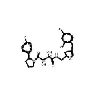 O=C(NCC1CC(Cc2ccc(Cl)cc2Cl)=CS1)[C@H](O)[C@@H](O)C(=O)N1CCCC1c1ccc(F)cc1